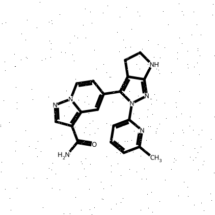 Cc1cccc(-n2nc3c(c2-c2ccn4ncc(C(N)=O)c4c2)CCN3)n1